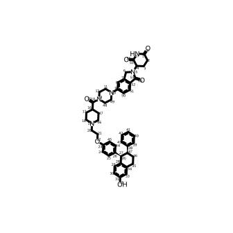 O=C1CCC(N2Cc3cc(N4CCN(C(=O)C5CCN(CCOc6ccc([C@@H]7c8ccc(O)cc8CC[C@@H]7c7ccccc7)cc6)CC5)CC4)ccc3C2=O)C(=O)N1